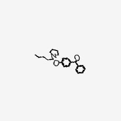 CCCCC(Oc1ccc(C(=O)c2ccccc2)cc1)N1CCCC1